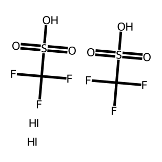 I.I.O=S(=O)(O)C(F)(F)F.O=S(=O)(O)C(F)(F)F